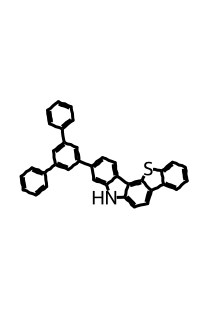 c1ccc(-c2cc(-c3ccccc3)cc(-c3ccc4c(c3)[nH]c3ccc5c6ccccc6sc5c34)c2)cc1